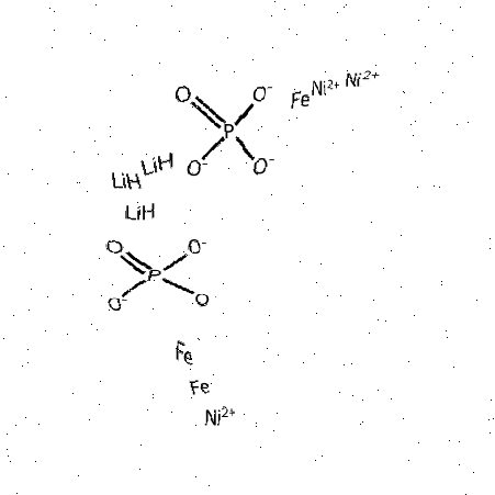 O=P([O-])([O-])[O-].O=P([O-])([O-])[O-].[Fe].[Fe].[Fe].[LiH].[LiH].[LiH].[Ni+2].[Ni+2].[Ni+2]